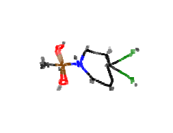 CC(C)S(=O)(=O)N1CCC(F)(F)CC1